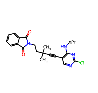 CCCNc1nc(Cl)ncc1C#CC(C)(C)CCN1C(=O)c2ccccc2C1=O